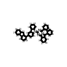 c1ccc(-c2nc(-n3c4ccccc4c4cc(-c5cccc6c5Cc5ccccc5-6)ccc43)nc3c4ccccc4c(-c4ccccc4)n23)cc1